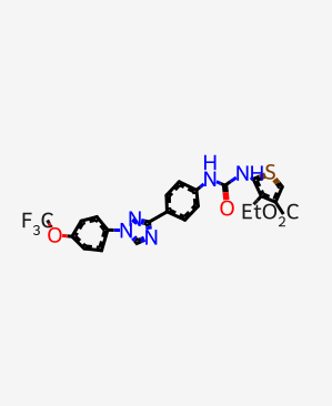 CCOC(=O)c1c(C)csc1NC(=O)Nc1ccc(-c2ncn(-c3ccc(OC(F)(F)F)cc3)n2)cc1